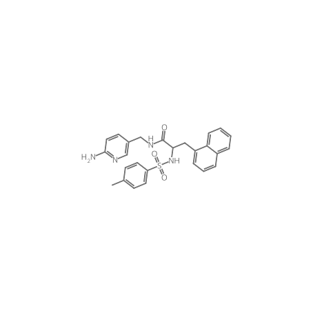 Cc1ccc(S(=O)(=O)NC(Cc2cccc3ccccc23)C(=O)NCc2ccc(N)nc2)cc1